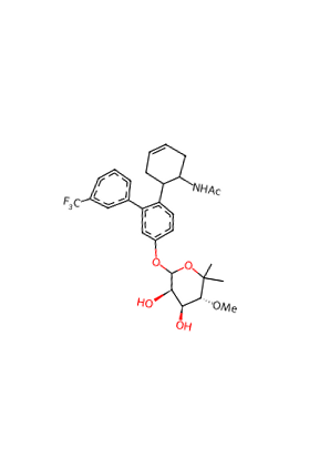 CO[C@@H]1[C@@H](O)[C@@H](O)C(Oc2ccc(C3CC=CCC3NC(C)=O)c(-c3cccc(C(F)(F)F)c3)c2)OC1(C)C